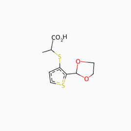 CC(Sc1ccsc1C1OCCO1)C(=O)O